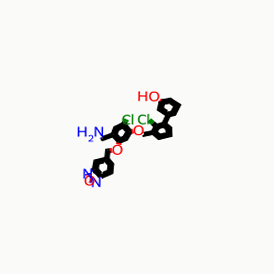 NCc1cc(Cl)c(OCc2cccc(-c3cccc(O)c3)c2Cl)cc1OCc1ccc2nonc2c1